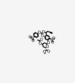 C#CCC(OC(=O)Oc1ccc([N+](=O)[O-])cc1)c1ccc(OC2CC(OC(C)=O)C[C@@H](C(=O)OC)O2)c([N+](=O)[O-])c1